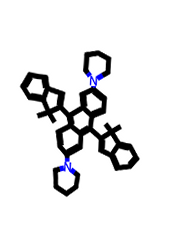 CC1(C)C(c2c3ccc(N4CCCCC4)cc3c(C3=Cc4ccccc4C3(C)C)c3ccc(N4CCCCC4)cc23)=Cc2ccccc21